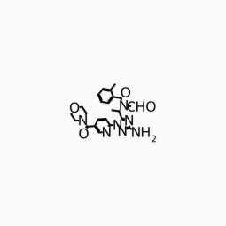 Cc1ccccc1C(=O)N(C=O)C(C)c1nc(N)nn1-c1ccc(C(=O)N2CCOCC2)cn1